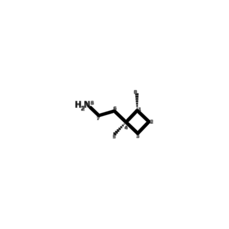 C[C@@H]1CC[C@@]1(C)CCN